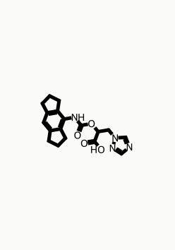 O=C(Nc1c2c(cc3c1CCC3)CCC2)OC(Cn1cncn1)C(=O)O